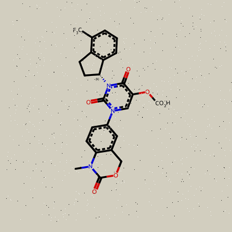 CN1C(=O)OCc2cc(-n3cc(OC(=O)O)c(=O)n([C@@H]4CCc5c4cccc5C(F)(F)F)c3=O)ccc21